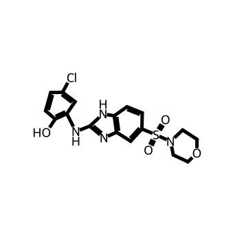 O=S(=O)(c1ccc2[nH]c(Nc3cc(Cl)ccc3O)nc2c1)N1CCOCC1